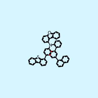 c1cc(-c2ccccc2N(c2ccc(-c3cccc4c3sc3ccccc34)cc2)c2cccc3oc4ccccc4c23)cc(-c2cccc3ccccc23)c1